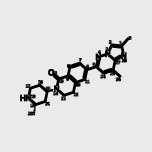 Cc1cn2nc(-c3ccc4c(c3)CCN([C@H]3CCN[C@@H](C)C3)C4=O)cc(C)c2n1